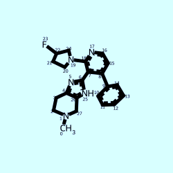 CN1CCc2nc(-c3c(-c4ccccc4)ccnc3N3CCC(F)C3)[nH]c2C1